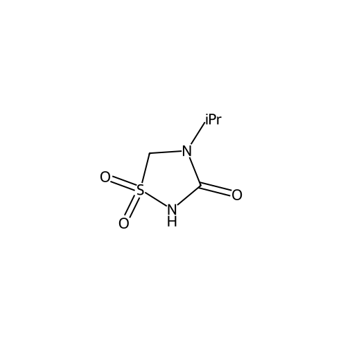 CC(C)N1CS(=O)(=O)NC1=O